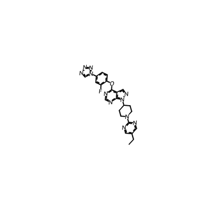 CCc1cnc(N2CCC(n3ncc4c(Oc5ccc(-n6cnnn6)cc5F)ncnc43)CC2)nc1